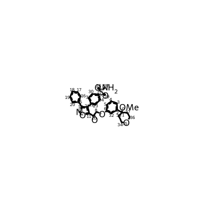 COC1(c2cccc(OCC(=O)c3onc(-c4ccccc4)c3-c3ccc(S(N)(=O)=O)cc3)c2)CCOCC1